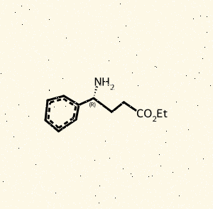 CCOC(=O)CC[C@@H](N)c1ccccc1